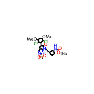 COc1cc(OC)c(Cl)c(-c2cc3cnc(S(C)(=O)=O)nc3n(CCc3cccc(NC(=O)OC(C)(C)C)c3)c2=O)c1Cl